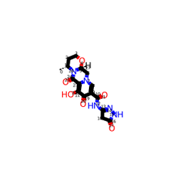 C[C@@H]1CCO[C@H]2Cn3cc(C(=O)NC4=NNC(=O)C4)c(=O)c(O)c3C(=O)N12